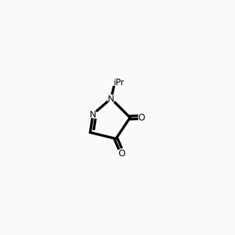 CC(C)N1N=CC(=O)C1=O